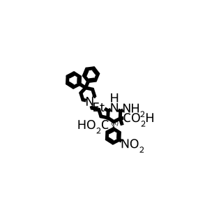 CCC1NC(N)C(C)(C(=O)O)[C@H](c2cccc([N+](=O)[O-])c2)C1(CCCN1CCC(c2ccccc2)(c2ccccc2)CC1)C(=O)O